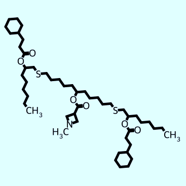 CCCCCCC(CSCCCCCC(CCCCCSCC(CCCCCC)OC(=O)CCC1CCCCC1)OC(=O)C1CN(C)C1)OC(=O)CCC1CCCCC1